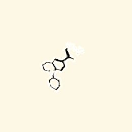 CC(=CC(=O)O)c1ccc2c(c1)CCCN2C1CCCCC1